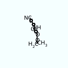 C=C(C)COCCCOc1ccc(C(=O)Nc2ccc(-c3ccc(C#N)cc3)cc2)cc1